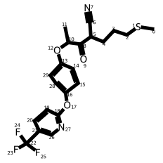 CSCCCC(C#N)C(=O)C(C)Oc1ccc(Oc2ccc(C(F)(F)F)cn2)cc1